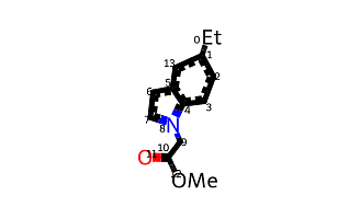 CCc1ccc2c(ccn2CC(=O)OC)c1